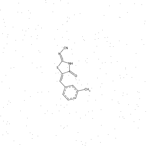 Cc1cccc(C=C2SC(=NC#N)NC2=O)c1